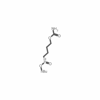 CCCCO[PH](=O)CCCCOC(N)=O